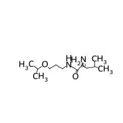 CC(C)C[C@H](N)C(=O)NCCCOC(C)C